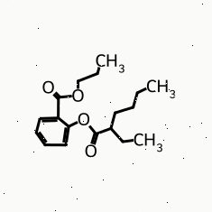 CCCCC(CC)C(=O)Oc1ccccc1C(=O)OCCC